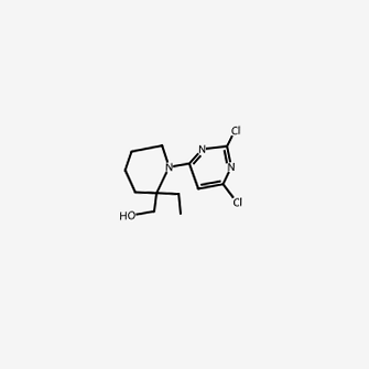 CCC1(CO)CCCCN1c1cc(Cl)nc(Cl)n1